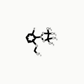 CC1(C)OB(c2c(F)cccc2OCC(F)(F)F)OC1(C)C